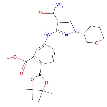 COC(=O)c1cc(Nc2nn([C@@H]3CCCOC3)cc2C(N)=O)ccc1B1OC(C)(C)C(C)(C)O1